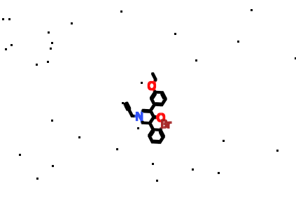 C#CCN1C=C(c2cccc(OCC)c2)C(=O)C(c2ccccc2Br)C1